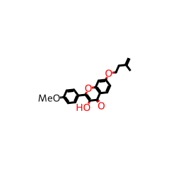 C=C(C)CCOc1ccc2c(=O)c(O)c(-c3ccc(OC)cc3)oc2c1